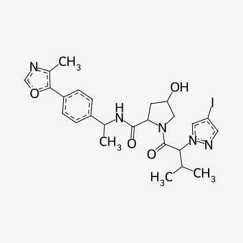 Cc1ncoc1-c1ccc(C(C)NC(=O)C2CC(O)CN2C(=O)C(C(C)C)n2cc(I)cn2)cc1